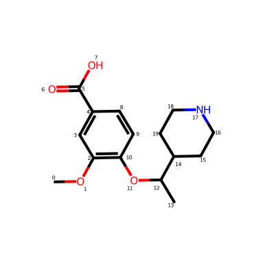 COc1cc(C(=O)O)ccc1OC(C)C1CCNCC1